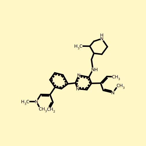 C=C/C(=C\N(C)C)c1cccc(-c2ncc(C(/C=N\C)=C/C)c(NCC3CCNCC3C)n2)c1